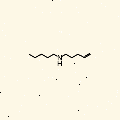 C=CCCCNCCCCC